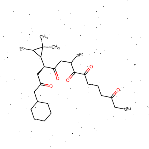 CCCC(CC(=O)[C@@H](CC(=O)CC1CCCCC1)C1C(CC)C1(C)C)C(=O)C(=O)CCCC(=O)CC(C)(C)C